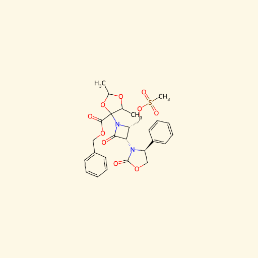 CC1OC(C)C(C(=O)OCc2ccccc2)(N2C(=O)[C@@H](N3C(=O)OC[C@@H]3c3ccccc3)[C@H]2COS(C)(=O)=O)O1